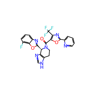 O=C(c1oc(-c2ccccn2)nc1C(F)(F)F)N1CCc2[nH]cnc2[C@H]1c1nc2cccc(F)c2o1